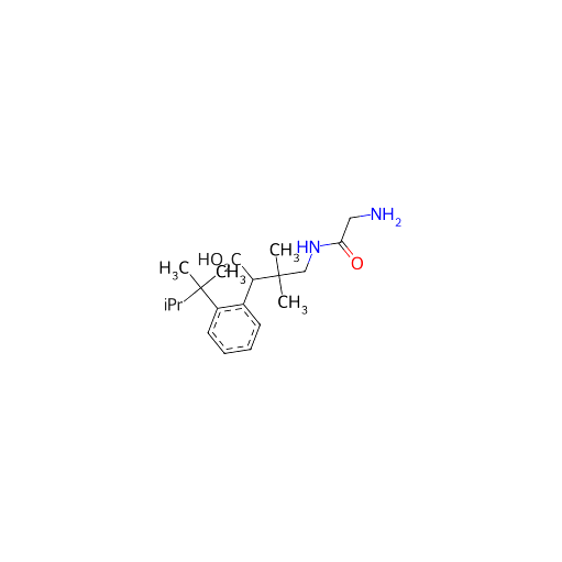 CC(C)C(C)(C)c1ccccc1C(C(=O)O)C(C)(C)CNC(=O)CN